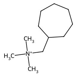 C[N+](C)(C)CC1CCCCCC1